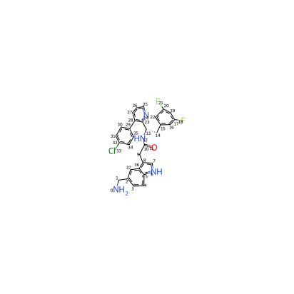 NCc1ccc2[nH]cc(CC(=O)N[C@@H](Cc3cc(F)cc(F)c3)c3ncccc3-c3ccc(Cl)cc3)c2c1